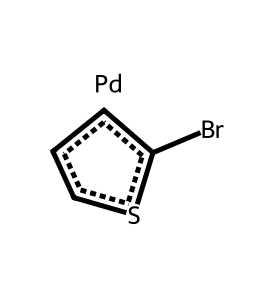 Brc1cccs1.[Pd]